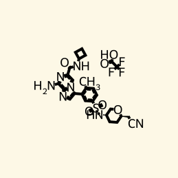 Cc1ccc(S(=O)(=O)N[C@H]2CC[C@H](CC#N)OC2)cc1-c1cnc2c(N)nc(C(=O)NC3CCC3)cn12.O=C(O)C(F)(F)F